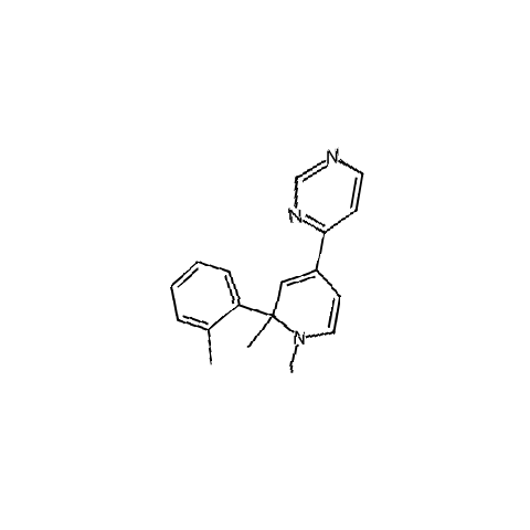 Cc1ccccc1C1(C)C=C(c2ccncn2)C=CN1C